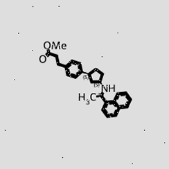 COC(=O)CCc1ccc([C@H]2CC[C@H](N[C@H](C)c3cccc4ccccc34)C2)cc1